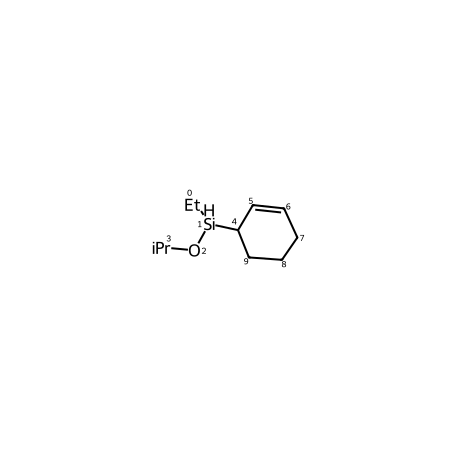 CC[SiH](OC(C)C)C1C=CCCC1